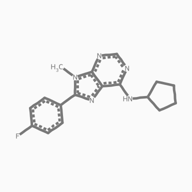 Cn1c(-c2ccc(F)cc2)nc2c(NC3CCCC3)ncnc21